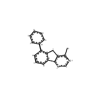 Cc1ncnc2c1Cc1c(-c3ccccc3)cccc1-2